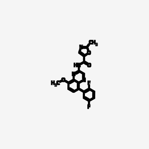 COc1ccc(-c2cc(F)ccc2F)c2ncc(NC(=O)c3cnc(C)o3)nc12